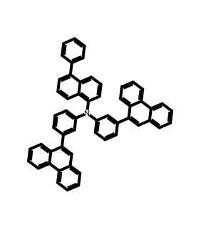 c1ccc(-c2cccc3c(N(c4cccc(-c5cc6ccccc6c6ccccc56)c4)c4cccc(-c5cc6ccccc6c6ccccc56)c4)cccc23)cc1